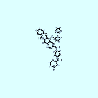 O=c1c(Nc2cccnc2)cc2cnc(Nc3ccc(NC4CCCNC4)cc3)nc2n1Cc1nccn1-c1nccs1